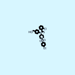 CCc1ccc(S(=O)(=O)N2CCC(N(C(=S)c3ccccc3Cl)c3ccc(CO)cc3)CC2)cc1